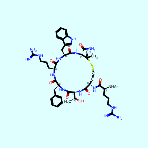 CC(=O)N[C@@H](CCCNC(=N)N)C(=O)N[C@H]1CCSSC(C)(C)[C@@H](C(N)=O)NC(=O)[C@H](Cc2c[nH]c3ccccc23)NC(=O)[C@H](CCCNC(=N)N)NC(=O)[C@@H](Cc2ccccc2)NC(=O)[C@H]([C@@H](C)O)NC1=O